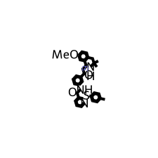 COc1ccc2c(c1)/C(=C/C(=O)c1cccc(NC(=O)c3cccnc3Sc3ccc(C)cc3)c1)NC(C)(C)C2